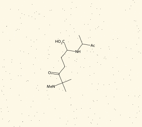 CNC(C)(C)C(=O)CCC(NC(C)C(C)=O)C(=O)O